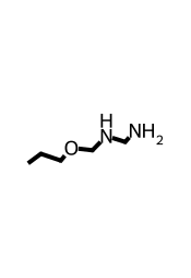 CCCOCNCN